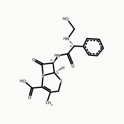 CC1=C(C(=O)O)N2C(=O)[C@@H](NC(=O)[C@H](NCO)c3ccccc3)[C@H]2SC1